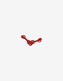 CCc1cc(OCCCCCCCCCCOc2ccccc2)oc1C(=O)c1oc(OCCCCCCCCCCOc2ccccc2)cc1CC